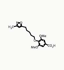 COc1cc(C(=O)O)cc(OC)c1OCCCCCc1cc(C)no1